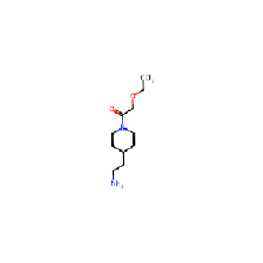 NCCC1CCN(C(=O)COCC(Cl)(Cl)Cl)CC1